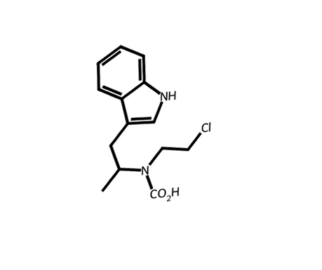 CC(Cc1c[nH]c2ccccc12)N(CCCl)C(=O)O